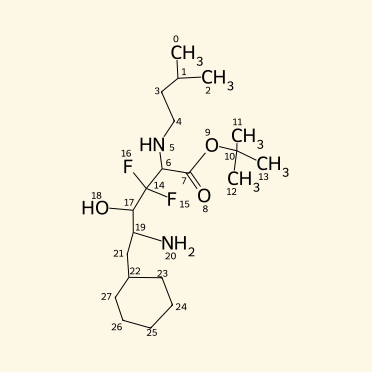 CC(C)CCNC(C(=O)OC(C)(C)C)C(F)(F)C(O)C(N)CC1CCCCC1